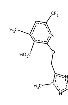 Cc1cc(C(F)(F)F)nc(OCc2nnnn2C)c1C(=O)O